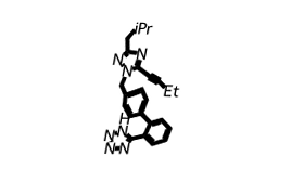 CCC#Cc1nc(CC(C)C)nn1Cc1ccc(-c2ccccc2-c2nnn[nH]2)cc1